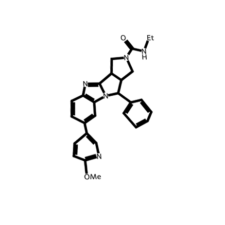 CCNC(=O)N1CC2c3nc4ccc(-c5ccc(OC)nc5)cc4n3C(c3ccccc3)C2C1